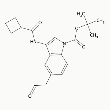 CC(C)(C)OC(=O)n1cc(NC(=O)C2CCC2)c2cc(CC=O)ccc21